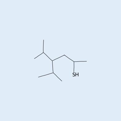 CC(S)CC(C(C)C)C(C)C